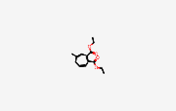 CCOC(=O)C1=C(C(=O)OCC)C=C(C)CC=C1